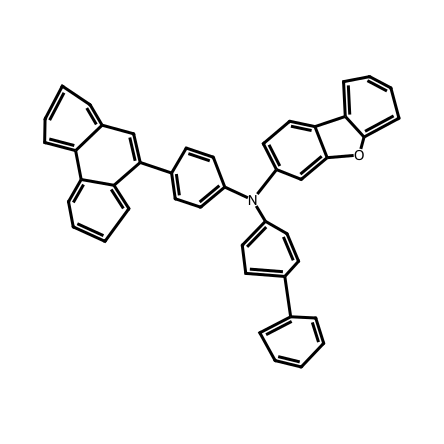 c1ccc(-c2ccc(N(c3ccc(-c4cc5ccccc5c5ccccc45)cc3)c3ccc4c(c3)oc3ccccc34)cc2)cc1